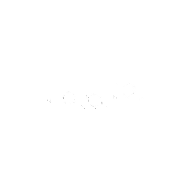 O=C1c2cnc(Nc3ccc4c(c3)CNCC4)nc2SCN1c1cc(Cl)ccc1Cl